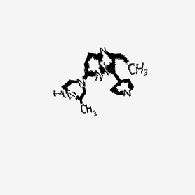 CCc1nc2ccc(N3CCNC(C)C3)nn2c1-c1ccncc1